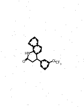 O=C1CC(c2cccc(OC(F)(F)F)c2)c2ccc3ccccc3c2N1